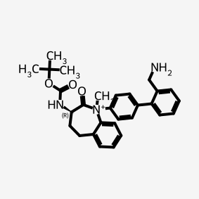 CC(C)(C)OC(=O)N[C@@H]1CCc2ccccc2[N+](C)(c2ccc(-c3ccccc3CN)cc2)C1=O